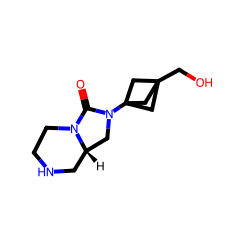 O=C1N2CCNC[C@H]2CN1C12CC(CO)(C1)C2